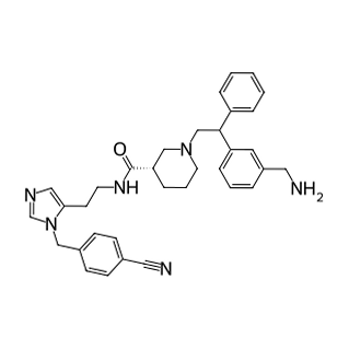 N#Cc1ccc(Cn2cncc2CCNC(=O)[C@H]2CCCN(CC(c3ccccc3)c3cccc(CN)c3)C2)cc1